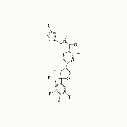 Cc1cc(C2=NOC(c3cc(F)c(F)c(F)c3)(C(F)(F)F)C2)ccc1C(=O)N(C)Cc1cnc(Cl)s1